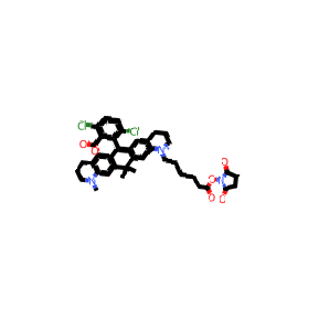 CN1CCCc2cc3c(cc21)C(C)(C)c1cc2c(cc1=C3c1c(Cl)ccc(Cl)c1C(=O)[O-])CCC[N+]=2CCCCCC(=O)ON1C(=O)CCC1=O